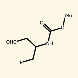 CC(C)(C)OC(=O)NC(CF)CC=O